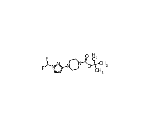 CC(C)(C)OC(=O)N1CCN(c2ccn(C(F)F)n2)CC1